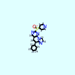 [O-][S+](c1ccncc1)c1ncc2c(n1)N1CCN=C1C(c1ccccc1)=C2